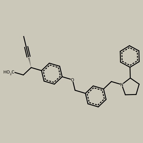 CC#C[C@@H](CC(=O)O)c1ccc(OCc2cccc(CN3CCCC3c3ccccc3)c2)cc1